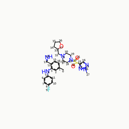 Cc1cc(Nc2ccc(F)cc2)c(C=N)cc1[C@H]1CN(S(=O)(=O)c2cnn(C)n2)CCN1CC1CCCO1